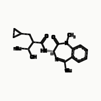 CCCCC(O)C(CC1CC1)C(=O)N[C@H]1N=C(C(C)(C)C)c2ccccc2N(C)C1=O